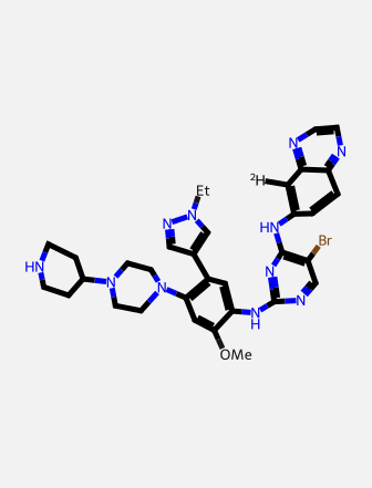 [2H]c1c(Nc2nc(Nc3cc(-c4cnn(CC)c4)c(N4CCN(C5CCNCC5)CC4)cc3OC)ncc2Br)ccc2nccnc12